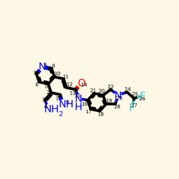 N=C/C(=C\N)c1ccncc1/C=C/C(=O)Nc1ccc2c(c1)CN(CC(F)F)C2